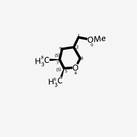 COCC1CO[C@@H](C)[C@@H](C)C1